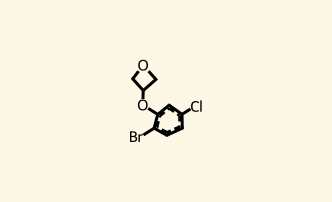 Clc1ccc(Br)c(OC2COC2)c1